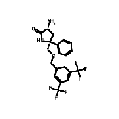 N[C@H]1C[C@@](COCC2C=C(C(F)(F)F)C=C(C(F)(F)F)C2)(c2ccccc2)NC1=O